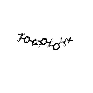 CNC(=O)c1ccc(-c2cn3c(n2)sc2cc(C(=O)NC4CCCC(NC(=O)OC(C)(C)C)C4)ccc23)cc1